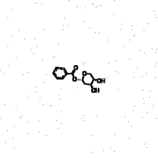 O=C(O[C@H]1C[C@H](O)[C@H](O)CO1)c1ccccc1